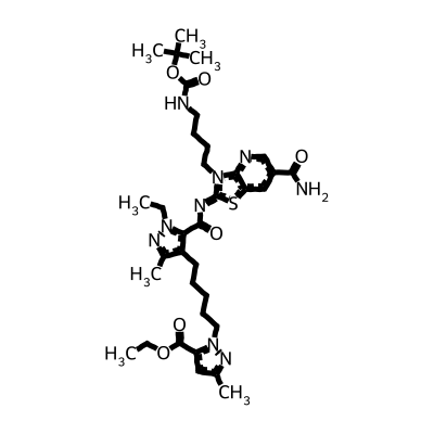 CCOC(=O)c1cc(C)nn1CCCCCc1c(C)nn(CC)c1C(=O)/N=c1\sc2cc(C(N)=O)cnc2n1CCCCNC(=O)OC(C)(C)C